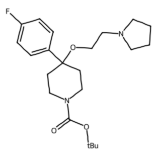 CC(C)(C)OC(=O)N1CCC(OCCN2CCCC2)(c2ccc(F)cc2)CC1